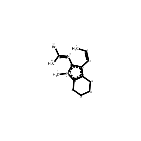 C/C=C\c1c2c(n(C)c1/N=C(\C)Br)CCCC2